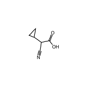 N#CC(C(=O)O)C1CC1